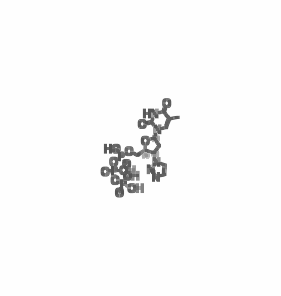 Cc1cn([C@H]2C[C@H](n3ccnn3)[C@@H](COP(=O)(O)OP(=O)(O)OP(=O)(O)O)O2)c(=O)[nH]c1=O